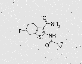 NC(=O)c1c(NC(=O)C2CC2)sc2c1CCC(F)C2